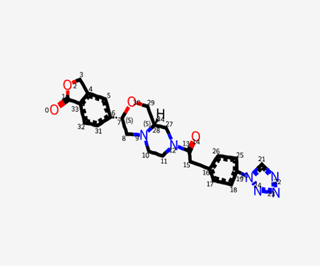 O=C1OCc2cc([C@H]3CN4CCN(C(=O)Cc5ccc(-n6cnnn6)cc5)C[C@H]4CO3)ccc21